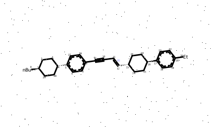 CCCC[C@H]1CC[C@H](c2ccc(C#C/C=C/[C@H]3CC[C@H](c4ccc(CC)cc4)CC3)cc2)CC1